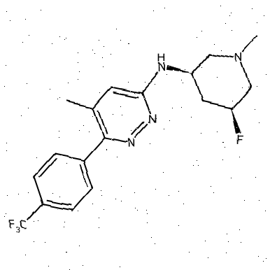 Cc1cc(N[C@@H]2C[C@H](F)CN(C)C2)nnc1-c1ccc(C(F)(F)F)cc1